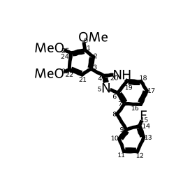 COc1cc(-c2nc3c(Cc4ccccc4F)cccc3[nH]2)cc(OC)c1OC